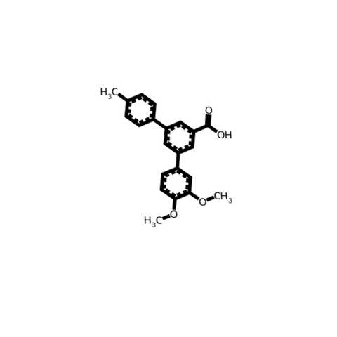 COc1ccc(-c2cc(C(=O)O)cc(-c3ccc(C)cc3)c2)cc1OC